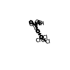 CC(C)(c1ccc(OCc2nn(C3CCCCO3)cc2NS(C)(=O)=O)cc1)c1cc(Cl)c(OCCCl)c(Cl)c1